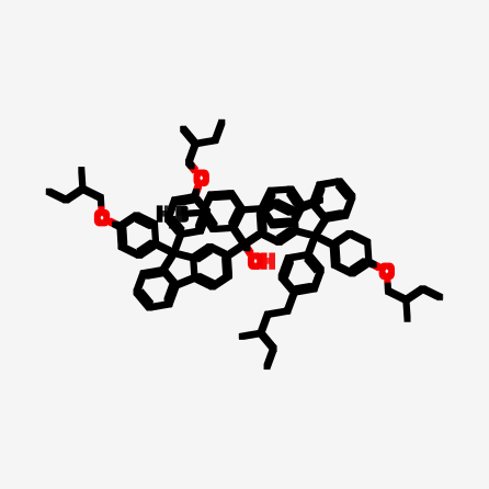 Bc1ccc(-c2ccc(C)cc2)c(C(O)(c2ccc3c(c2)C(C2=CC=C(OCC(C)CC)CC2)(c2ccc(CCC(C)CC)cc2)c2ccccc2-3)c2ccc3c(c2)C(c2ccc(OCC(C)CC)cc2)(c2ccc(OCC(C)CC)cc2)c2ccccc2-3)c1